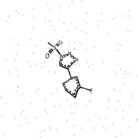 CS(=O)(=O)n1cc(-c2cccc(F)c2)nn1